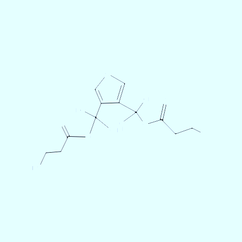 CC(C)(OC(=O)CCS)c1cocc1C(C)(C)OC(=O)CCS